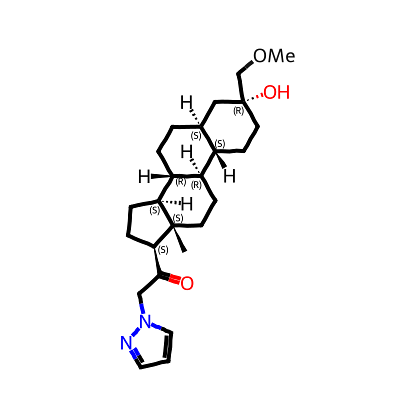 COC[C@@]1(O)CC[C@H]2[C@@H](CC[C@@H]3[C@@H]2CC[C@]2(C)[C@@H](C(=O)Cn4cccn4)CC[C@@H]32)C1